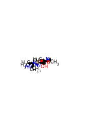 Cc1cnc(-c2cc(C)c(-c3nnc(N(C)C4CC(C)(C)NC(C)(C)C4)s3)c(O)c2)o1